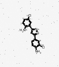 Nc1ccc(-c2cc(-c3cc(Cl)ccc3N)no2)cc1Cl